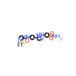 CCSc1ncccc1C(=O)Nc1ccc(-c2ccnc(Nc3ccc(S(N)(=O)=O)cc3)n2)cc1